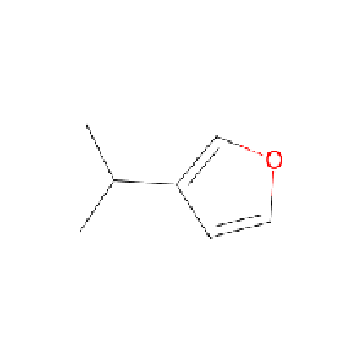 CC(C)c1ccoc1